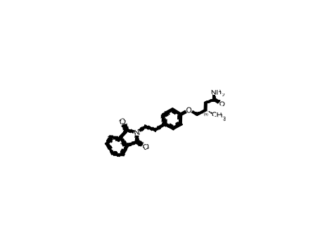 C[C@H](COc1ccc([CH]CN2C(=O)c3ccccc3C2=O)cc1)CC(N)=O